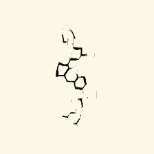 CC1CN(CC(=O)Nc2ccc3c(c2)Cc2cccc(-c4cc(=O)cc(N5CCOCC5)o4)c2S3)C[C@H](C)O1